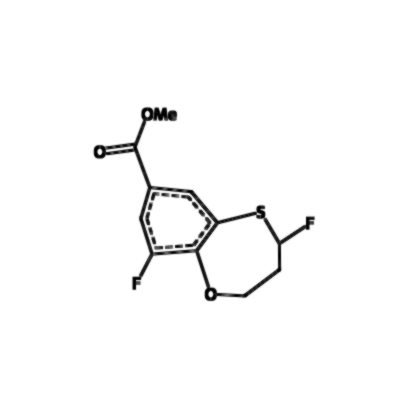 COC(=O)c1cc(F)c2c(c1)SC(F)CCO2